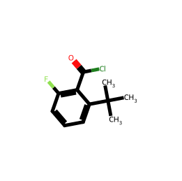 CC(C)(C)c1cccc(F)c1C(=O)Cl